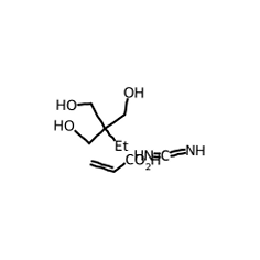 C=CC(=O)O.CCC(CO)(CO)CO.N=C=N